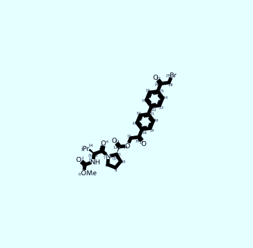 COC(=O)N[C@H](C(=O)N1CCC[C@H]1C(=O)OCC(=O)c1ccc(-c2ccc(C(=O)CBr)cc2)cc1)C(C)C